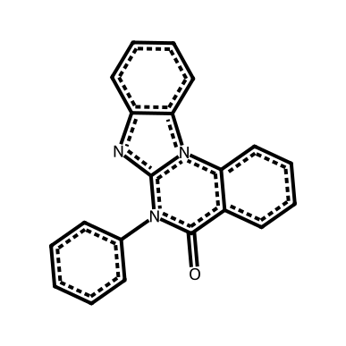 O=c1c2ccccc2n2c3ccccc3nc2n1-c1ccccc1